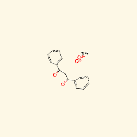 O=C(CC(=O)c1ccccc1)c1ccccc1.[O-2].[O-2].[Ti+4]